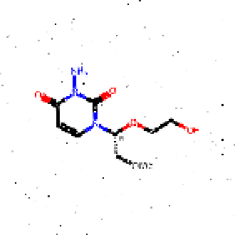 COC[C@@H](OCCO)n1ccc(=O)n(N)c1=O